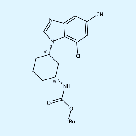 CC(C)(C)OC(=O)N[C@@H]1CCC[C@H](n2cnc3cc(C#N)cc(Cl)c32)C1